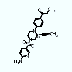 CC#C[C@H]1CN(S(=O)(=O)c2ccc(N)nc2)CCN1c1ccc(C(=O)CC)cc1